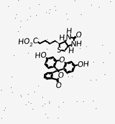 O=C(O)CCCC[C@@H]1SC[C@@H]2NC(=O)N[C@@H]21.O=C1OC2(c3ccc(O)cc3Oc3cc(O)ccc32)c2ccccc21